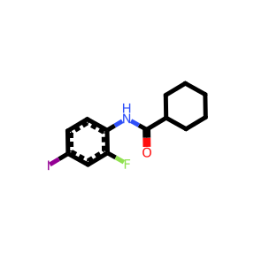 O=C(Nc1ccc(I)cc1F)C1CCCCC1